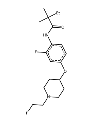 CCC(C)(C)C(=O)Nc1ccc(OC2CCN(CCF)CC2)cc1F